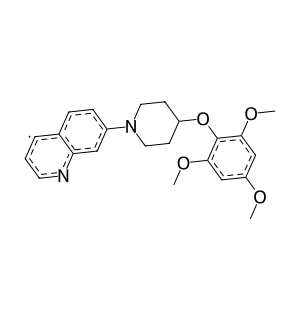 COc1cc(OC)c(OC2CCN(c3ccc4[c]ccnc4c3)CC2)c(OC)c1